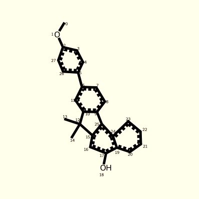 COc1ccc(-c2ccc3c(c2)C(C)(C)c2cc(O)c4ccccc4c2-3)cc1